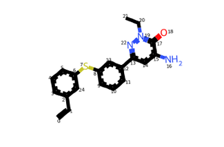 C=Cc1cccc(Sc2cccc(-c3cc(N)c(=O)n(CC)n3)c2)c1